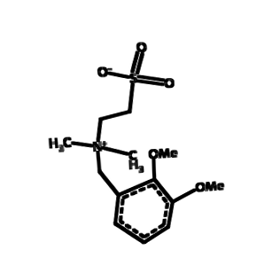 COc1cccc(C[N+](C)(C)CCS(=O)(=O)[O-])c1OC